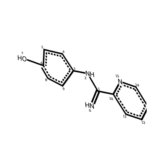 N=C(Nc1ccc(O)cc1)c1ccccn1